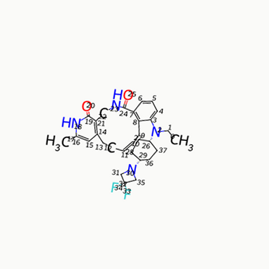 CCN(c1cccc2c1CC=CCCc1cc(C)[nH]c(=O)c1CNC2=O)[C@H]1CC[C@@H](N2CC(F)(F)C2)CC1